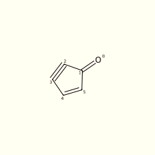 O=C1C#CC=C1